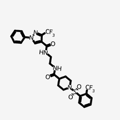 O=C(NCCNC(=O)C1CCN(S(=O)(=O)c2ccccc2C(F)(F)F)CC1)c1cn(-c2ccccc2)nc1C(F)(F)F